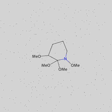 COC1CCCN(OC)C1(OC)OC